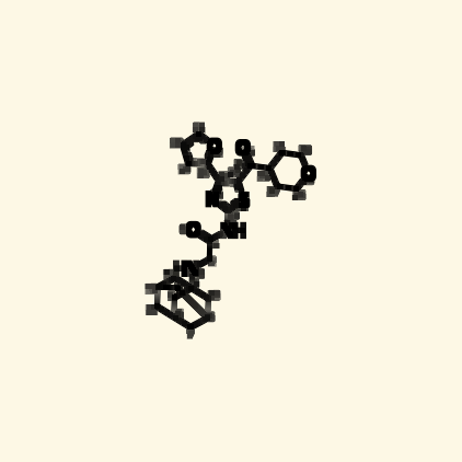 O=C(CNC12CC3CC(CC(C3)C1)C2)Nc1nc(-c2ccco2)c(C(=O)C2CCOCC2)s1